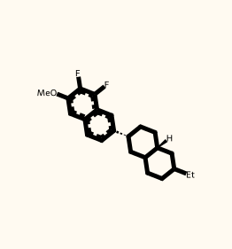 CCC1CCC2C[C@H](c3ccc4cc(OC)c(F)c(F)c4c3)CC[C@@H]2C1